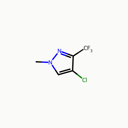 Cn1cc(Cl)c(C(F)(F)F)n1